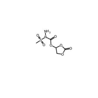 CS(=O)(=O)N(N)C(=O)OC1COC(=O)O1